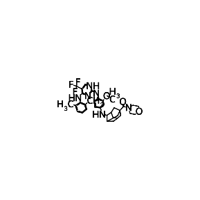 COc1cc(NC2C3CC4CC2CC(C(=O)N2CCOCC2)(C4)C3)ccc1Nc1ncc(C(F)(F)F)c(Nc2c(C)cccc2C)n1